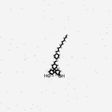 CCCCCCCCCCC[C@H]1CC[C@H](CCC2CCC(c3ccc(O)cc3)(c3ccc(O)cc3)CC2)CC1